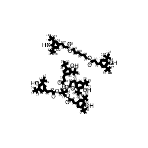 CC(C)(C)c1cc(CCC(=O)OCC(COC(=O)CCc2cc(C(C)(C)C)c(O)c(C(C)(C)C)c2)(COC(=O)CCc2cc(C(C)(C)C)c(O)c(C(C)(C)C)c2)COC(=O)CCc2cc(C(C)(C)C)c(O)c(C(C)(C)C)c2)cc(C(C)(C)C)c1O.CC(C)(C)c1cc(CCC(=O)OCCCCCCOC(=O)CCc2cc(C(C)(C)C)c(O)c(C(C)(C)C)c2)cc(C(C)(C)C)c1O